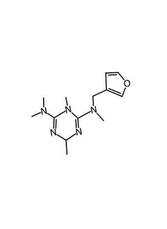 CC1N=C(N(C)C)N(C)C(N(C)Cc2ccoc2)=N1